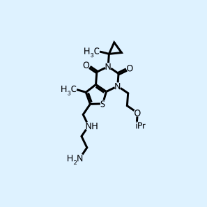 Cc1c(CNCCN)sc2c1c(=O)n(C1(C)CC1)c(=O)n2CCOC(C)C